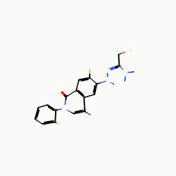 CCN(C=O)/C(CO)=N\N(C)c1cc2c(C(C)C)cn(-c3ccccc3F)c(=O)c2cc1F